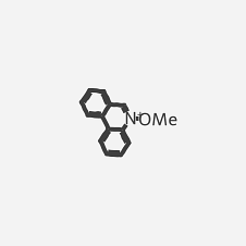 CO[n+]1cc2ccccc2c2ccccc21